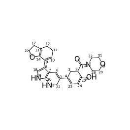 O=C(C1CC(C2=Cc3c(C4=CCCC5=C4OCC5)c[nH]c3NC2)=CC=C1O)N1CCOCC1